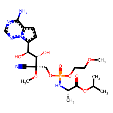 COCCOP(=O)(N[C@@H](C)C(=O)OC(C)C)OC[C@@](C#N)(OC)[C@@H](O)[C@@H](O)c1ccc2c(N)ncnn12